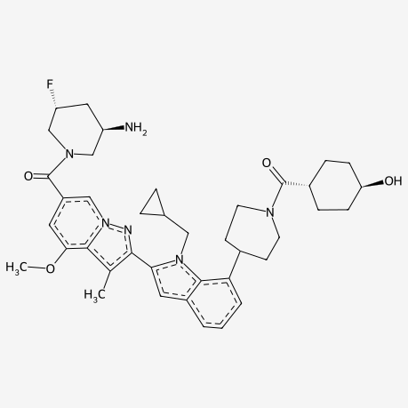 COc1cc(C(=O)N2C[C@H](N)C[C@@H](F)C2)cn2nc(-c3cc4cccc(C5CCN(C(=O)[C@H]6CC[C@H](O)CC6)CC5)c4n3CC3CC3)c(C)c12